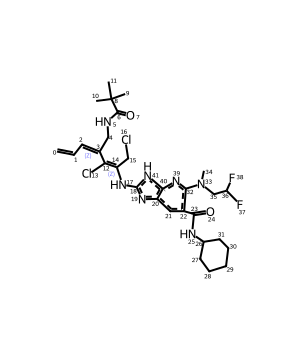 C=C/C=C(CNC(=O)C(C)(C)C)\C(Cl)=C(/CCl)Nc1nc2cc(C(=O)NC3CCCCC3)c(N(C)CC(F)F)nc2[nH]1